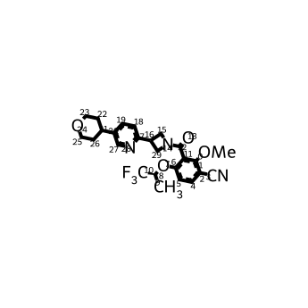 COc1c(C#N)ccc(O[C@@H](C)C(F)(F)F)c1C(=O)N1CC(c2ccc(C3CCOCC3)cn2)C1